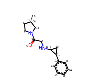 C[C@H]1CCN(C(=O)CNC2CC2c2ccccc2)C1